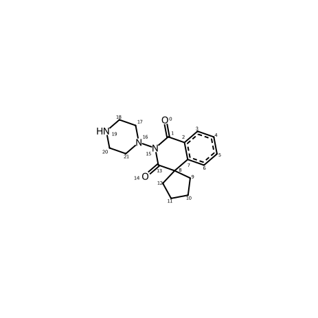 O=C1c2ccccc2C2(CCCC2)C(=O)N1N1CCNCC1